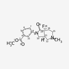 COC(=O)c1cccc(N2C[C@@H]3CN(C)CC[C@]3(F)C2=O)c1